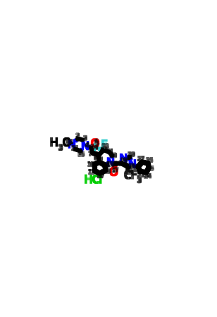 CN1CCN(C(=O)/C=C2/c3ccccc3N(C(=O)c3ncn(-c4ccccc4)c3C(F)(F)F)CCC2(F)F)CC1.Cl